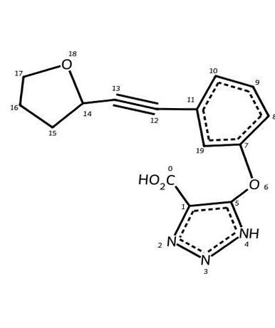 O=C(O)c1nn[nH]c1Oc1cccc(C#CC2CCCO2)c1